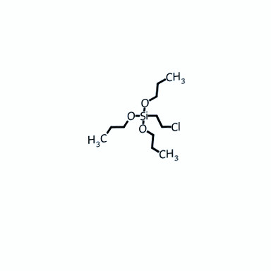 CCCO[Si](CCCl)(OCCC)OCCC